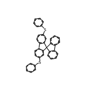 c1ccc(Sc2ccc3c(c2)C2(c4ccccc4-c4ccccc42)c2cc(Sc4ccccc4)ccc2-3)cc1